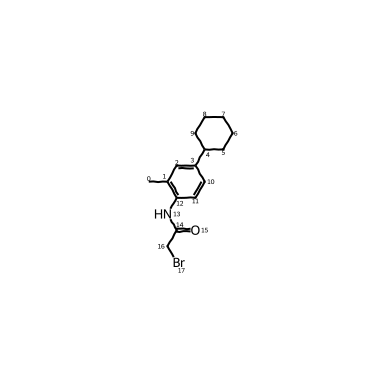 Cc1cc(C2CCCCC2)ccc1NC(=O)CBr